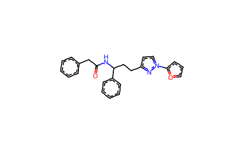 O=C(Cc1ccccc1)NC(CCc1ccn(-c2ccco2)n1)c1ccccc1